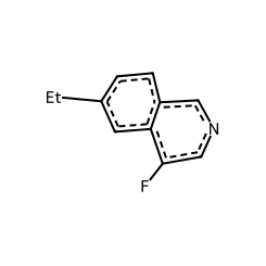 CCc1ccc2cncc(F)c2c1